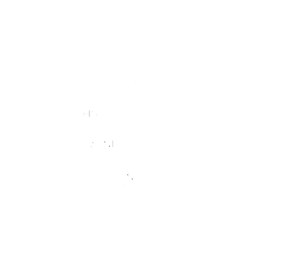 CC(=O)NC1(C(=O)S)C=CC=CC1N